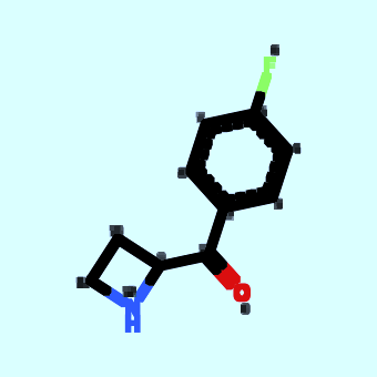 O=C(c1ccc(F)cc1)C1CCN1